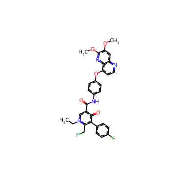 CCn1cc(C(=O)Nc2ccc(Oc3ccnc4cc(OC)c(OC)nc34)cc2)c(=O)c(-c2ccc(F)cc2)c1CF